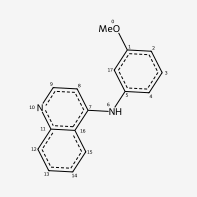 COc1cccc(Nc2ccnc3ccccc23)c1